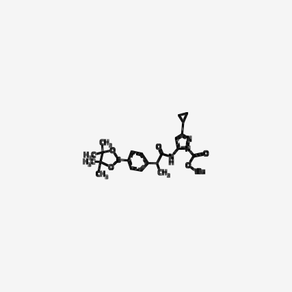 CC(C(=O)Nc1cc(C2CC2)nn1C(=O)OC(C)(C)C)c1ccc(B2OC(C)(C)C(C)(C)O2)cc1